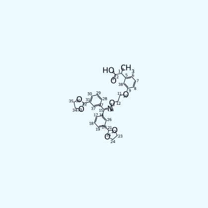 CC(C(=O)O)c1cccc(OCCON=C(c2cccc(C3OCCO3)c2)c2cccc(C3OCCO3)c2)c1